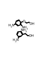 Nc1ccc(N)c(CCO)c1.Nc1ccc(OCCO)c(N)c1